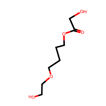 O=C(CO)OCCCCOCCO